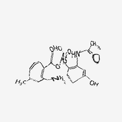 CC(=O)Nc1cc(O)ccc1[As](=O)(O)OC(=O)c1ccc(C)cc1N